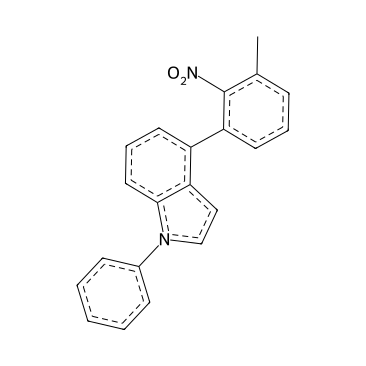 Cc1cccc(-c2cccc3c2ccn3-c2ccccc2)c1[N+](=O)[O-]